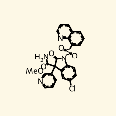 COc1ncccc1C1(C(N)=O)C(=O)N(S(=O)(=O)c2cccc3cccnc23)c2ccc(Cl)cc21